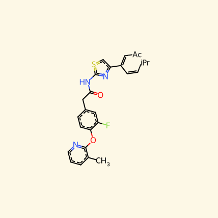 CC(=O)/C=C(\C=C/C(C)C)c1csc(NC(=O)Cc2ccc(Oc3ncccc3C)c(F)c2)n1